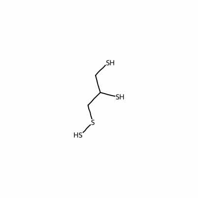 SCC(S)CSS